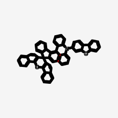 c1ccc(N(c2ccc3c(c2)oc2ccccc23)c2ccccc2-c2cccc3c2-c2ccccc2C32c3ccc4ccccc4c3Oc3c2ccc2ccccc32)cc1